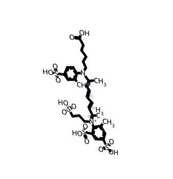 C\C(=C/C=C/C=C/C(C)=[N+](\CCCS(=O)(=O)O)c1c(C)cc(S(=O)(=O)O)cc1S(=O)(=O)O)N(CCCCCC(=O)O)c1ccc(S(=O)(=O)O)cc1C